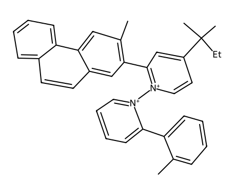 CCC(C)(C)c1cc[n+](-[n+]2ccccc2-c2ccccc2C)c(-c2cc3ccc4ccccc4c3cc2C)c1